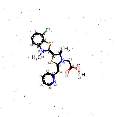 C=C1/C(=C2\Sc3c(F)cccc3N2C)S/C(=C\c2ccccn2)N1CC(=O)OC